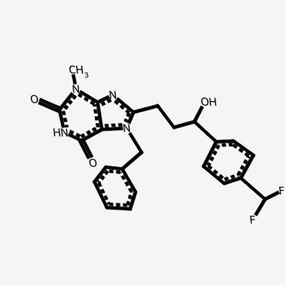 Cn1c(=O)[nH]c(=O)c2c1nc(CCC(O)c1ccc(C(F)F)cc1)n2Cc1ccccc1